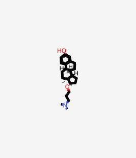 CN(C)CCCO[C@H]1CC[C@H]2[C@@H]3CCc4cc(O)ccc4[C@H]3CC[C@]12C